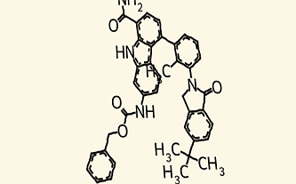 Cc1c(-c2ccc(C(N)=O)c3[nH]c4cc(NC(=O)OCc5ccccc5)ccc4c23)cccc1N1Cc2cc(C(C)(C)C)ccc2C1=O